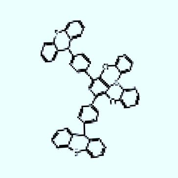 c1ccc2c(c1)Oc1c(-c3ccc(C4c5ccccc5Sc5ccccc54)cc3)cc(-c3ccc(C4c5ccccc5Sc5ccccc54)cc3)c3c1B2c1ccccc1O3